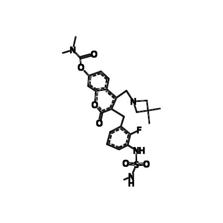 CNS(=O)(=O)Nc1cccc(Cc2c(CN3CC(C)(C)C3)c3ccc(OC(=O)N(C)C)cc3oc2=O)c1F